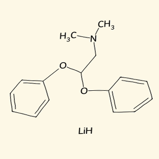 CN(C)CC(Oc1ccccc1)Oc1ccccc1.[LiH]